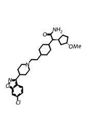 CO[C@H]1CC[C@H](C(C(N)=O)C2CCC(CCN3CCC(c4noc5cc(Cl)ccc45)CC3)CC2)C1